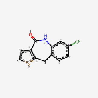 O=C1Nc2cc(Cl)ccc2Cc2sccc21